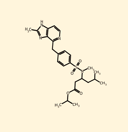 Cc1nc2c(Cc3ccc(S(=O)(=O)N(C)C(CC(=O)OC(C)C)CC(C)C)cc3)nccc2[nH]1